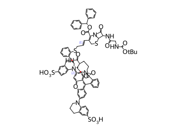 CC(C)(C)OC(=O)NCC(=O)NC1C(=O)N2C(C(=O)OC(c3ccccc3)c3ccccc3)=C(/C=C/CSc3ccccc3NC(=O)C3CCN(S(=O)(=O)c4ccccc4-c4c5cc/c(=[N+]6\CCCc7cc(S(=O)(=O)O)ccc76)cc-5oc5cc(N6CCCc7cc(S(=O)(=O)O)ccc76)ccc45)CC3)CSC12